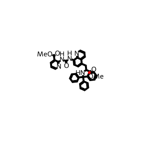 COC(=O)c1cccnc1NC(=O)Nc1ccc(CC(NC(c2ccccc2)(c2ccccc2)c2ccccc2)C(=O)OC)c2cccnc12